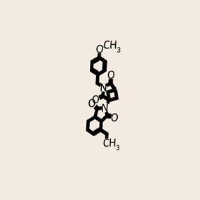 CCC1=CCCC2C(=O)N(C34CC(C3)C(=O)N(Cc3ccc(OC)cc3)C4=O)C(=O)C12